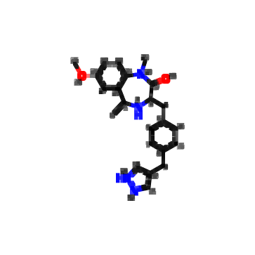 C=C1NC(Cc2ccc(Cc3cn[nH]c3)cc2)C(=O)N(C)c2ccc(OC)cc21